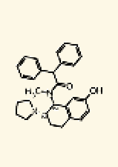 CN(C(=O)C(c1ccccc1)c1ccccc1)[C@H]1c2cc(O)ccc2CC[C@@H]1N1CCCC1